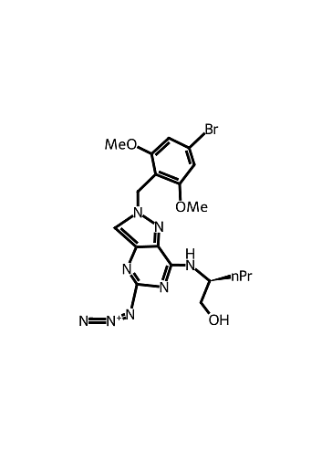 CCC[C@@H](CO)Nc1nc(N=[N+]=[N-])nc2cn(Cc3c(OC)cc(Br)cc3OC)nc12